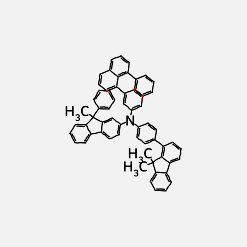 CC1(C)c2ccccc2-c2cccc(-c3ccc(N(c4cccc(-c5cccc6cccc(-c7ccccc7)c56)c4)c4ccc5c(c4)C(C)(c4ccccc4)c4ccccc4-5)cc3)c21